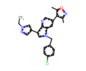 Cc1noc(C)c1-c1cnc2c(-c3cnn(CC(F)(F)F)c3)cn(Cc3ccc(Cl)cc3)c2c1